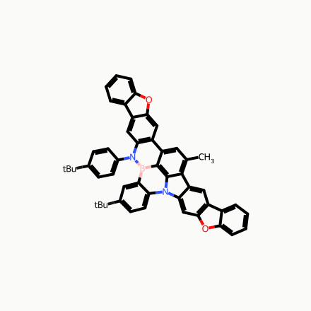 Cc1cc2c3c4c1c1cc5c(cc1n4-c1ccc(C(C)(C)C)cc1B3N(c1ccc(C(C)(C)C)cc1)c1cc3c(cc1-2)oc1ccccc13)oc1ccccc15